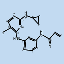 C=CC(=O)Nc1cccc(Nc2nc(NC3CC3)ncc2C)c1